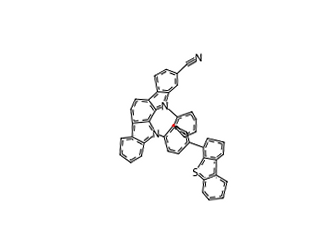 N#Cc1ccc2c3ccc4c5ccccc5n(-c5ccc(-c6cccc7c6sc6ccccc67)cc5)c4c3n(-c3ccccc3)c2c1